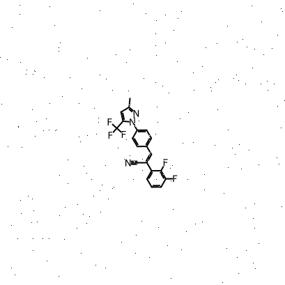 Cc1cc(C(F)(F)F)n(-c2ccc(C=C(C#N)c3cccc(F)c3F)cc2)n1